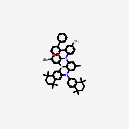 Cc1cc2c3c(c1)N(c1ccc(C(C)(C)C)cc1-c1ccccc1-c1ccccc1)c1ccc(C(C)(C)C)cc1B3c1cc3c(cc1N2c1ccc2c(c1)C(C)(C)CCC2(C)C)C(C)(C)CCC3(C)C